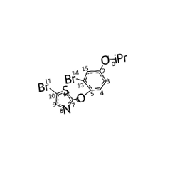 CC(C)Oc1ccc(Oc2ncc(Br)s2)c(Br)c1